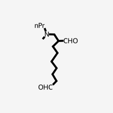 CCCN(C)CC(C=O)CCCCCCC=O